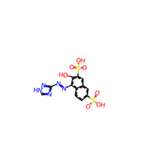 O=S(=O)(O)c1ccc2c(/N=N/c3nc[nH]n3)c(O)c(S(=O)(=O)O)cc2c1